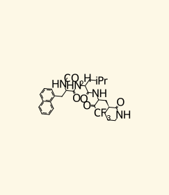 CC(C)CC(NC(=O)C(Cc1cccc2ccccc12)NC(=O)O)C(=O)NC(C[C@@H]1CCCNC1=O)C(=O)C(F)(F)F